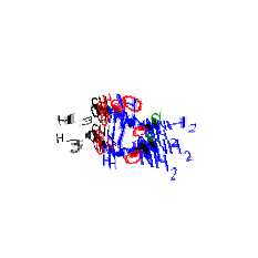 CC(C)(C)OC(=O)CNC(=O)NNC=NC(=O)c1nc(Cl)c(N)nc1N.CC(C)(C)OC(=O)CNC(=O)NNC=NC(=O)c1nc(Cl)c(N)nc1N.O